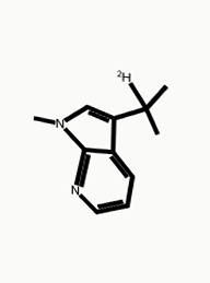 [2H]C(C)(C)c1cn(C)c2ncccc12